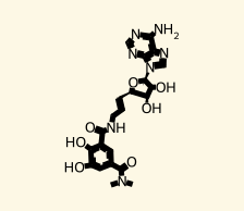 CN(C)C(=O)c1cc(O)c(O)c(C(=O)NC/C=C/[C@H]2O[C@@H](n3cnc4c(N)ncnc43)C(O)[C@H]2O)c1